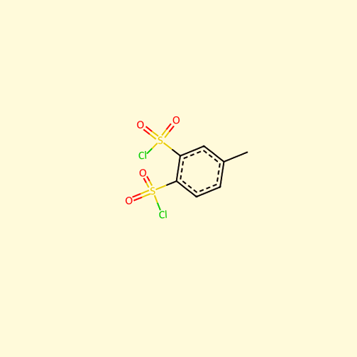 Cc1ccc(S(=O)(=O)Cl)c(S(=O)(=O)Cl)c1